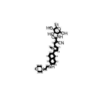 CC[C@H]1OC(O)[C@H](NC(=O)/C(C#N)=C/c2ccc(-c3ccc4cc(NCCN5CCOCC5)ccc4c3)n2C)[C@@H](O)[C@@H]1O